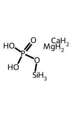 O=P(O)(O)O[SiH3].[CaH2].[MgH2]